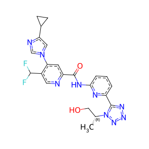 C[C@H](CO)n1nnnc1-c1cccc(NC(=O)c2cc(-n3cnc(C4CC4)c3)c(C(F)F)cn2)n1